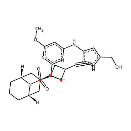 C#CC1CN(S(=O)(=O)N2[C@@H]3CCC[C@H]2C[C@H](N(C)c2nc(Nc4cc(CO)[nH]n4)cc(OC)n2)C3)C1